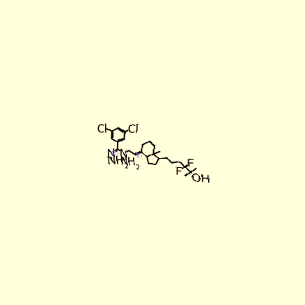 CC12CCC/C(=C\CN(N)/C(=N\N)c3cc(Cl)cc(Cl)c3)C1CCC2CCCC(F)(F)C(C)(C)O